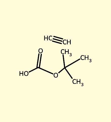 C#C.CC(C)(C)OC(=O)O